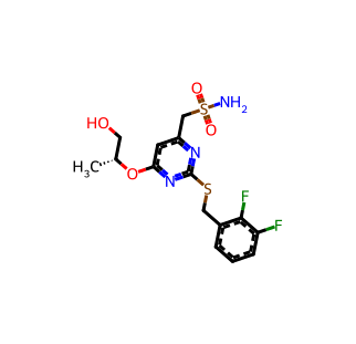 C[C@H](CO)Oc1cc(CS(N)(=O)=O)nc(SCc2cccc(F)c2F)n1